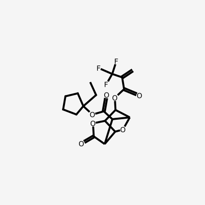 C=C(C(=O)OC1C2OC(=O)C3C2OC1C3C(=O)OC1(CC)CCCC1)C(F)(F)F